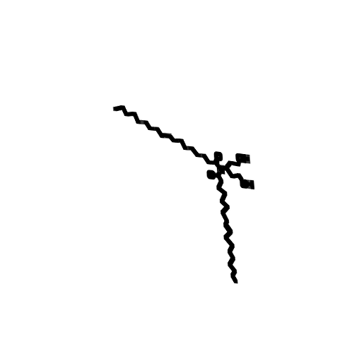 CCCCCCCCC=CCCCCCCCC(=O)N(C(=O)CCCCCCCC=CCCCCCCCC)C(CCO)CCO